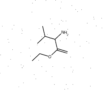 C=C(OCC)C(N)C(C)C